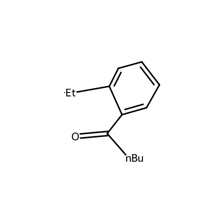 C[CH]c1ccccc1C(=O)CCCC